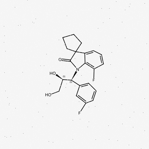 O=C1N([C@@H](c2cccc(F)c2)[C@H](O)CO)c2c(F)cccc2C12CCCC2